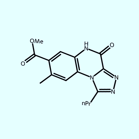 CCCc1nnc2c(=O)[nH]c3cc(C(=O)OC)c(C)cc3n12